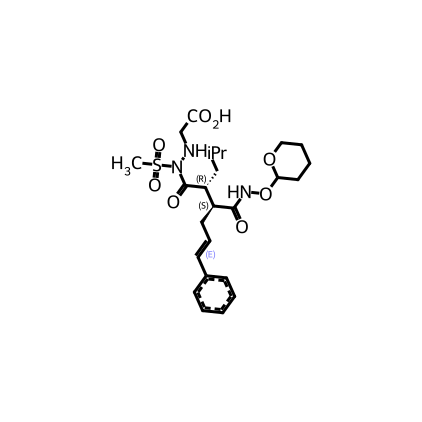 CC(C)C[C@@H](C(=O)N(NCC(=O)O)S(C)(=O)=O)[C@H](C/C=C/c1ccccc1)C(=O)NOC1CCCCO1